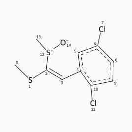 CSC(=Cc1cc(Cl)ccc1Cl)[S+](C)[O-]